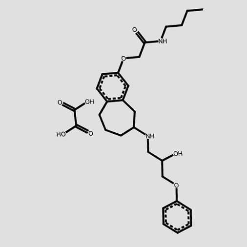 CCCCNC(=O)COc1ccc2c(c1)CC(NCC(O)COc1ccccc1)CCC2.O=C(O)C(=O)O